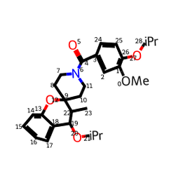 COc1cc(C(=O)N2CCC3(CC2)Oc2ccccc2C(OC(C)C)C3C)ccc1OC(C)C